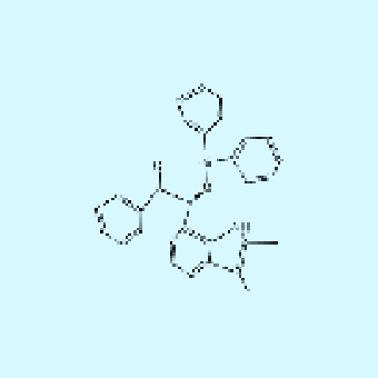 Cc1[nH]c2c([C@H](O[Si](C)(c3ccccc3)c3ccccc3)C(=O)c3ccccc3)cccc2c1C